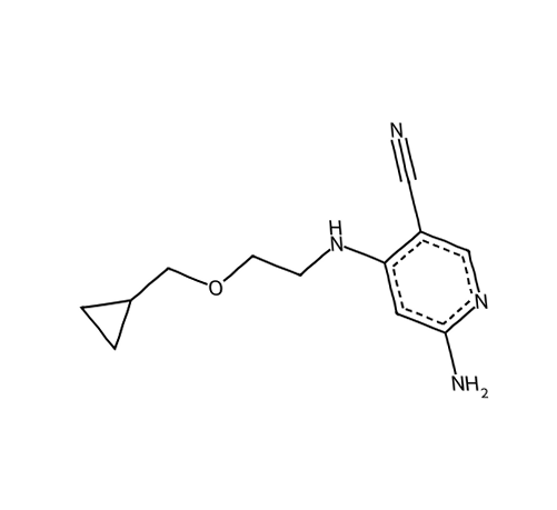 N#Cc1cnc(N)cc1NCCOCC1CC1